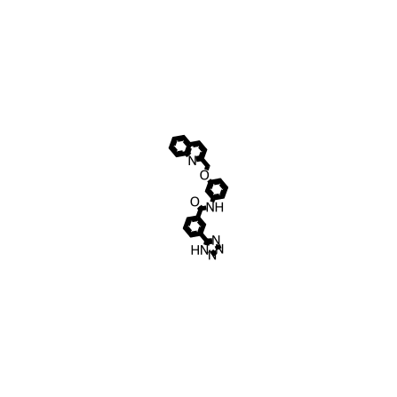 O=C(Nc1cccc(OCc2ccc3ccccc3n2)c1)c1cccc(-c2nnn[nH]2)c1